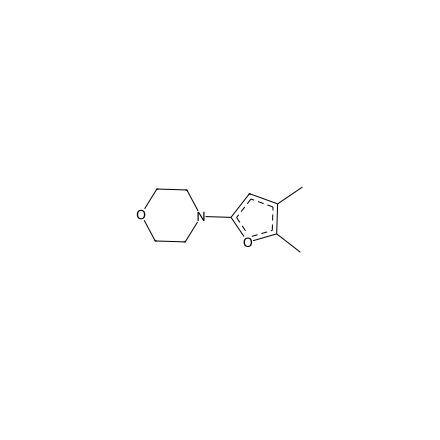 Cc1cc(N2CCOCC2)oc1C